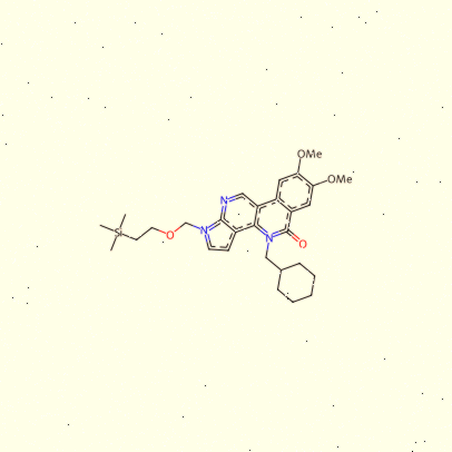 COc1cc2c(=O)n(CC3CCCCC3)c3c(cnc4c3ccn4COCC[Si](C)(C)C)c2cc1OC